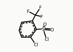 O=S(=O)(Cl)c1c(Cl)cccc1C(F)(F)F